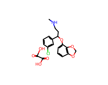 CNCCC(Oc1cccc2c1OCO2)c1cccc(Cl)c1.O=C(O)C(=O)O